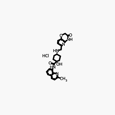 Cc1ccc2cccc(NC(=O)[C@]3(O)CC[C@@H](NCc4ccc5c(n4)NC(=O)CO5)CC3)c2n1.Cl